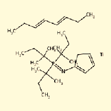 CCC(C)(C)P(=NC1=CC=CC1)(C(C)(C)CC)C(C)(C)CC.CCC=CC=CCC.[Ti]